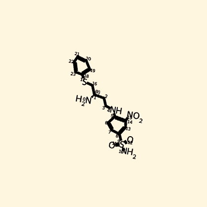 N[C@H](CCNc1ccc(S(N)(=O)=O)cc1[N+](=O)[O-])CSc1ccccc1